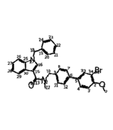 COc1ccc(-c2ccc(CN(C)C(=O)c3cn(Cc4ccccc4)c4ccccc34)cc2)cc1Br